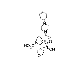 O=C(NO)[C@H]1C(C2CCOC2)N(C(=O)O)CC[C@@H]1C(=O)N1CCN(c2ccccc2)CC1